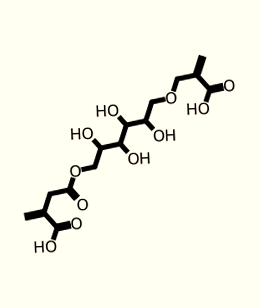 C=C(COCC(O)C(O)C(O)C(O)COC(=O)CC(=C)C(=O)O)C(=O)O